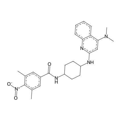 Cc1cc(C(=O)NC2CCC(Nc3cc(N(C)C)c4ccccc4n3)CC2)cc(C)c1[N+](=O)[O-]